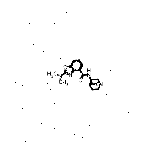 CN(C)c1nc2c(C(=O)NC3CN4CCC3CC4)cccc2o1